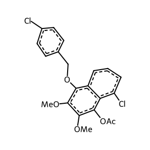 COc1c(OC)c(OC(C)=O)c2c(Cl)cccc2c1OCc1ccc(Cl)cc1